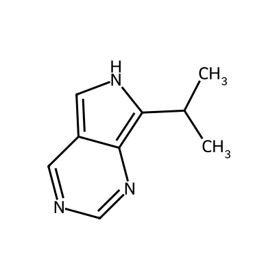 CC(C)c1[nH]cc2cncnc12